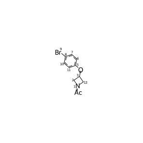 CC(=O)N1CC(Oc2ccc(Br)cc2)C1